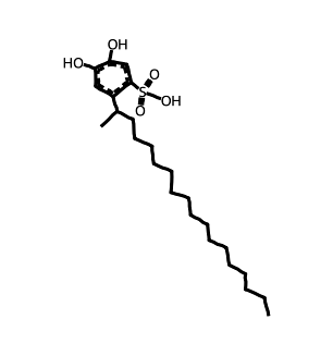 CCCCCCCCCCCCCCCCC(C)c1cc(O)c(O)cc1S(=O)(=O)O